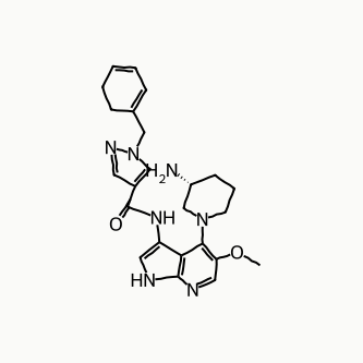 COc1cnc2[nH]cc(NC(=O)c3cnn(CC4=CC=CCC4)c3)c2c1N1CCC[C@@H](N)C1